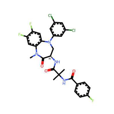 CN1C(=O)[C@H](NC(=O)C(C)(C)NC(=O)c2ccc(F)cc2)CN(c2cc(Cl)cc(Cl)c2)c2cc(F)c(F)cc21